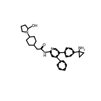 NC1(c2ccc(-c3cnc(NC(=O)CC4CCC(N5CCCC5O)CC4)cc3-c3ccccc3)cc2)CC1